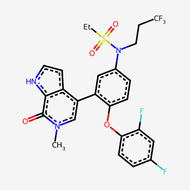 CCS(=O)(=O)N(CCC(F)(F)F)c1ccc(Oc2ccc(F)cc2F)c(-c2cn(C)c(=O)c3[nH]ccc23)c1